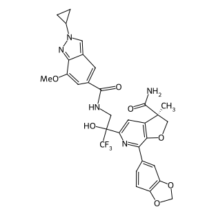 COc1cc(C(=O)NCC(O)(c2cc3c(c(-c4ccc5c(c4)OCO5)n2)OC[C@]3(C)C(N)=O)C(F)(F)F)cc2cn(C3CC3)nc12